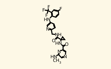 CNc1cncc(C(=O)NC2(C(=O)NCc3ccc(Nc4ccc(F)cc4C(F)(F)F)cn3)CC2)n1